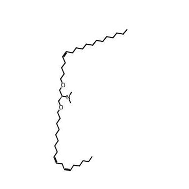 CCCCC/C=C\C/C=C\CCCCCCCCOC[C@@H](COCCCC/C=C\CCCCCCCCCCCC)N(C)C